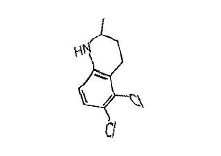 CC1CCc2c(ccc(Cl)c2Cl)N1